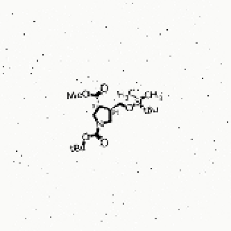 COC(=O)[C@H]1CN(C(=O)OC(C)(C)C)C[C@@H]1CO[Si](C)(C)C(C)(C)C